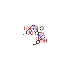 C=Cc1ccc(C(O)(C(=O)Nc2ccc(NC(=O)C(O)(c3ccccc3)c3ccc(C=C)cc3)c3c2C(=O)c2ccccc2C3=O)c2ccccc2)cc1